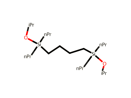 CCC[Si](CCC)(CCCC[Si](CCC)(CCC)OC(C)C)OC(C)C